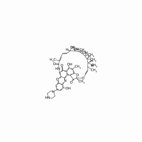 C/C1=C/C=C/[C@H](C)[C@H](O)[C@@H](C)[C@@H](O)[C@@H](C)[C@H](C)[C@H](C)[C@@H](C)/C=C/O[C@@]2(C)Oc3c(C)c(O)c4c(=O)c(c5oc6cc(N7CCNCC7)cc(O)c6nc-5c4c3C2=O)NC1=O